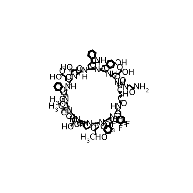 CCCC[C@H]1C(=O)N2CCC[C@@H]2C(=O)N[C@@H](CC(=O)O)C(=O)N[C@@H](C(C)C)C(=O)N(C)[C@@H](Cc2ccccc2)C(=O)N[C@@H](CCC(=O)O)C(=O)N2C[C@H](O)C[C@@H]2C(=O)NC(Cc2c[nH]c3ccccc23)C(=O)N[C@@H](Cc2ccc(O)cc2)C(=O)N[C@@H](CCC(=O)O)C(=O)N[C@H](C(=O)NCC(N)=O)CSCC(=O)N[C@@H](Cc2cc(F)c(F)c(F)c2)C(=O)N(C)[C@@H](Cc2ccc(O)cc2)C(=O)N1C